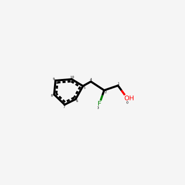 OCC(F)Cc1ccccc1